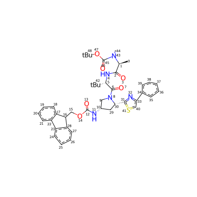 C[C@@H](C(=O)N[C@H](C(=O)N1C[C@@H](NC(=O)OCC2c3ccccc3-c3ccccc32)C[C@H]1c1nc(-c2ccccc2)cs1)C(C)(C)C)N(C)C(=O)OC(C)(C)C